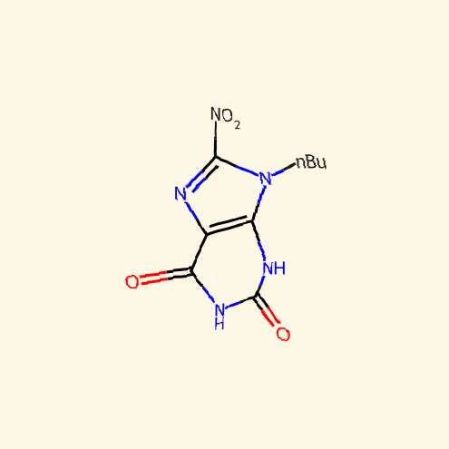 CCCCn1c([N+](=O)[O-])nc2c(=O)[nH]c(=O)[nH]c21